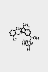 Cc1nn(Cc2c(Cl)cccc2Cl)c2cc(C(O)C3=NNNN3)ccc12